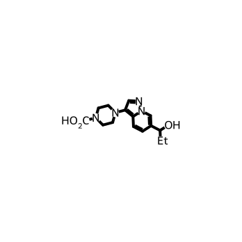 CCC(O)c1ccc2c(N3CCN(C(=O)O)CC3)cnn2c1